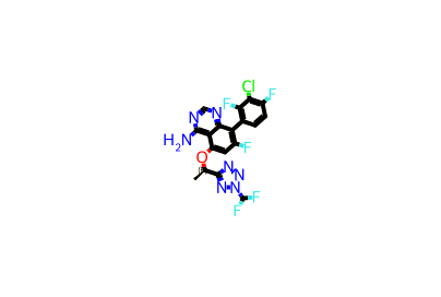 C[C@@H](Oc1cc(F)c(-c2ccc(F)c(Cl)c2F)c2ncnc(N)c12)c1nnn(C(F)F)n1